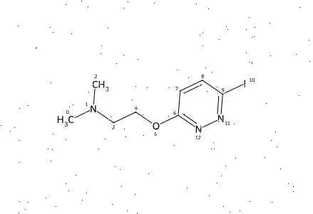 CN(C)CCOc1ccc(I)nn1